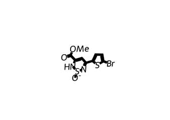 COC(=O)C1=CC(c2ccc(Br)s2)=N[S+]([O-])N1